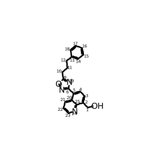 OCc1ccc(-c2noc(CCCc3ccccc3)n2)c2cccnc12